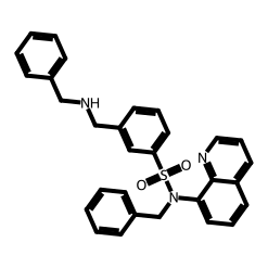 O=S(=O)(c1cccc(CNCc2ccccc2)c1)N(Cc1ccccc1)c1cccc2cccnc12